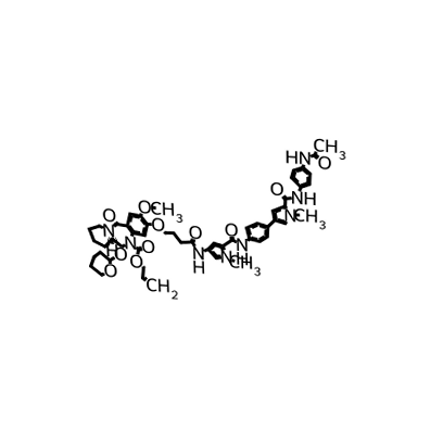 C=CCOC(=O)N1c2cc(OCCCC(=O)Nc3cc(C(=O)Nc4ccc(-c5cc(C(=O)Nc6ccc(NC(C)=O)cc6)n(C)c5)cc4)n(C)c3)c(OC)cc2C(=O)N2CCCC[C@H]2C1OC1CCCCO1